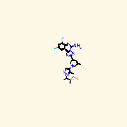 Cc1c(N2CC(C)CC(c3nc4c5cc(F)cc(F)c5nc(N)n4n3)C2)cnn1C(C)C(C)O